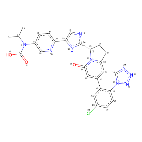 CC(C)N(C(=O)O)c1ccc(-c2cnc([C@@H]3CCc4cc(-c5cc(Cl)ccc5-n5cnnn5)cc(=O)n43)[nH]2)nc1